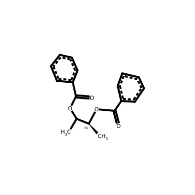 CC(OC(=O)c1ccccc1)[C@H](C)OC(=O)c1ccccc1